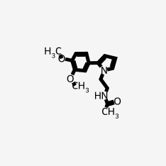 COc1ccc(-c2cccn2CCNC(C)=O)cc1OC